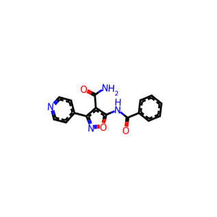 NC(=O)c1c(-c2ccncc2)noc1NC(=O)c1ccccc1